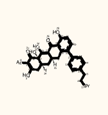 CC(=O)C1=C(O)C[C@@H]2C[C@@H]3Cc4c(-c5ccc(CCC(C)C)cc5)ccc(O)c4C(=O)C3=C(O)[C@]2(O)C1=O